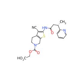 C[C@@H](CC(=O)Nc1sc2c(c1C#N)CCN(C(=O)OCC(=O)O)C2)c1ccccn1